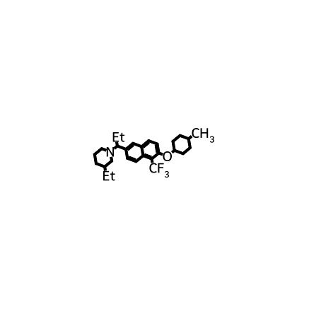 CCC1CCCN(C(CC)c2ccc3c(C(F)(F)F)c(OC4CCC(C)CC4)ccc3c2)C1